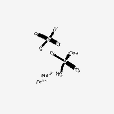 O=P([O-])(O)O.O=S(=O)([O-])[O-].[F-].[Fe+3].[Na+]